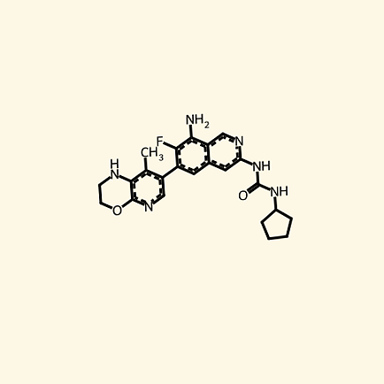 Cc1c(-c2cc3cc(NC(=O)NC4CCCC4)ncc3c(N)c2F)cnc2c1NCCO2